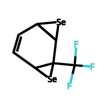 FC(F)(F)C12[Se]C1C=CC1[Se]C12